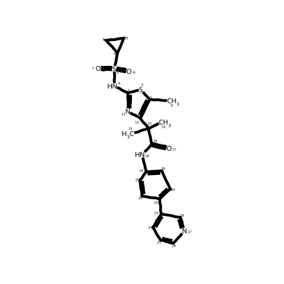 Cc1sc(NS(=O)(=O)C2CC2)nc1C(C)(C)C(=O)Nc1ccc(-c2cccnc2)cc1